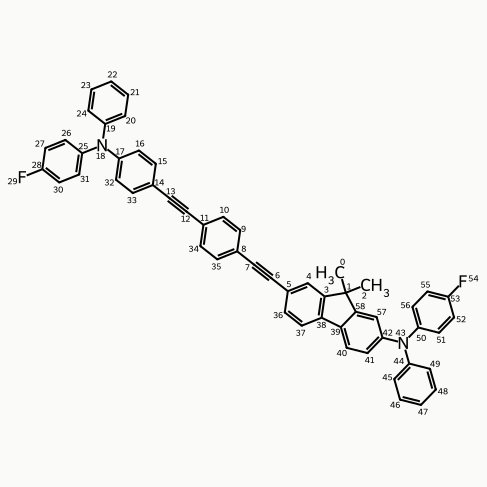 CC1(C)c2cc(C#Cc3ccc(C#Cc4ccc(N(c5ccccc5)c5ccc(F)cc5)cc4)cc3)ccc2-c2ccc(N(c3ccccc3)c3ccc(F)cc3)cc21